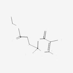 CCOC(=O)CCC1(C)OC(=O)C(C)=C(O)O1